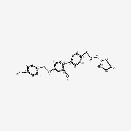 O=c1cc(OCc2ccc(F)cc2)ccn1-c1ccc(COC[C@@H]2CCCN2)cc1